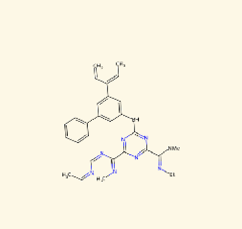 C=C/C(=C\C)c1cc(Bc2nc(C(/N=C\N=C/C)=N/C)nc(/C(=N/CC)NC)n2)cc(-c2ccccc2)c1